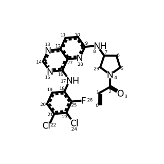 C=CC(=O)N1CCC(Nc2ccc3ncnc(Nc4ccc(Cl)c(Cl)c4F)c3n2)C1